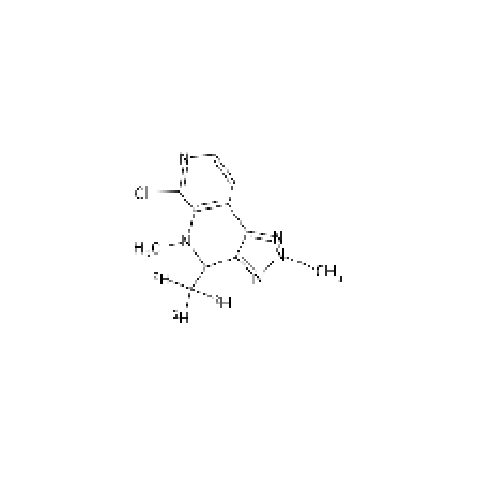 [2H]C([2H])([2H])C1c2nn(C)nc2-c2ccnc(Cl)c2N1C